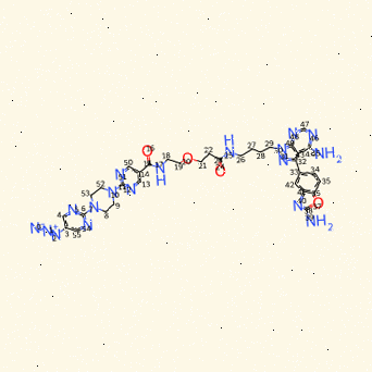 [N-]=[N+]=Nc1cnc(N2CCN(c3ncc(C(=O)NCCOCCC(=O)NCCCCn4nc(-c5ccc6oc(N)nc6c5)c5c(N)ncnc54)cn3)CC2)nc1